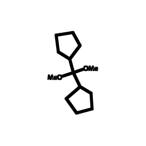 COC(OC)(C1CCCC1)C1CCCC1